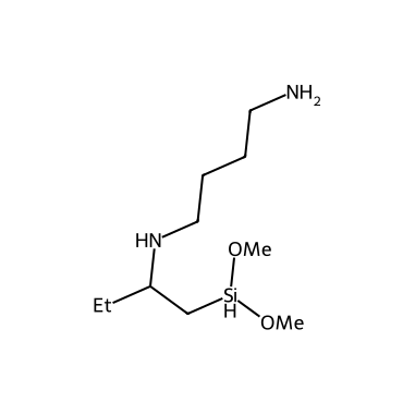 CCC(C[SiH](OC)OC)NCCCCN